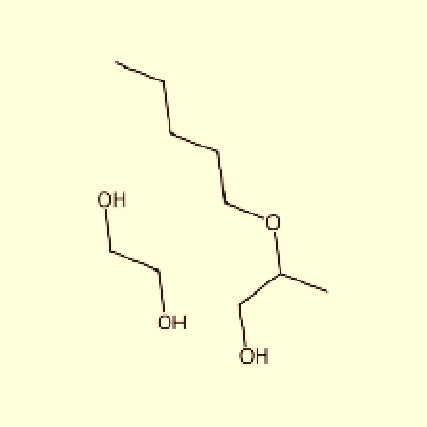 CCCCCOC(C)CO.OCCO